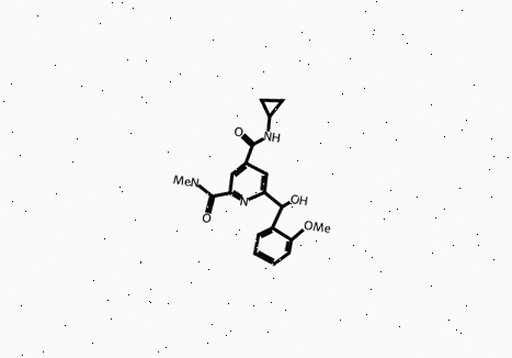 CNC(=O)c1cc(C(=O)NC2CC2)cc(C(O)c2ccccc2OC)n1